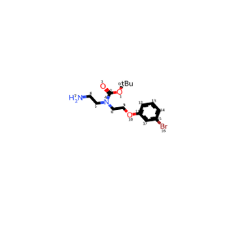 CC(C)(C)OC(=O)N(CCN)CCOc1cccc(Br)c1